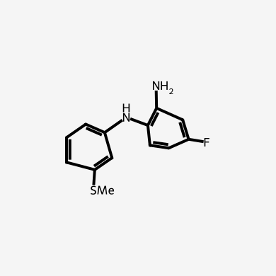 CSc1cccc(Nc2ccc(F)cc2N)c1